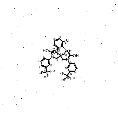 O=C(O)N(CC1(CN(C(=O)O)c2cccc(C(F)(F)F)c2)CSc2c(Cl)cccc2C1=O)c1cccc(C(F)(F)F)c1